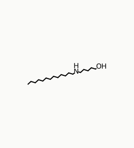 CCCCCCCCCCCCCNCCCCCO